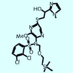 COc1nc(SCC(O)c2nccn2C)cnc1N(COCC[Si](C)(C)C)S(=O)(=O)c1cccc(Cl)c1Cl